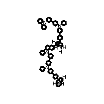 c1ccc(N(c2ccc(-c3ccc(C45C[C@@H]6C[C@@H](C4)C(c4ccc7c(ccc8c9ccccc9n(-c9cccc(-c%10ccc(N(c%11ccccc%11)c%11ccc(-c%12ccc(C%13%14C[C@@H]%15CC%16C[C@@H](C%13)N%16[C@@H]%14C%15)cc%12)cc%11)cc%10)c9)c78)c4)[C@@H](C5)N6)cc3)cc2)c2ccc(-c3cccc(-n4c5ccccc5c5ccccc54)c3)cc2)cc1